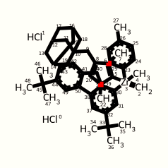 Cl.Cl.[CH2]=[Zr]([CH3])([C]1=C(C)C(CC23CC4CC(CC(C4)C2)C3)=CC1C)([c]1ccc(C)cc1)[c]1cc(C(C)(C)C)cc2c1Cc1ccc(C(C)(C)C)cc1-2